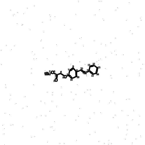 CC(C)(C)OC(=O)COc1ccc(/C=N/c2ccccc2)cc1